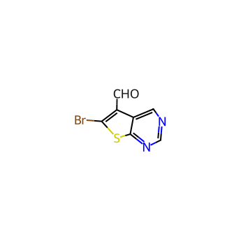 O=Cc1c(Br)sc2ncncc12